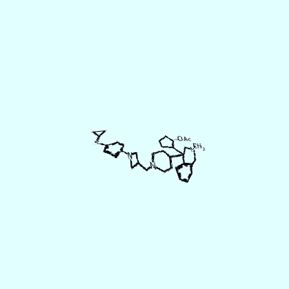 CC(=O)O[C@H]1CCCC1C1(C2CCN(CC3CN(c4ccc(SC5CC5)cc4)C3)CC2)CN(C)Cc2ccccc21